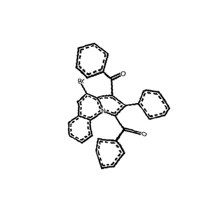 O=C(c1ccccc1)c1c(-c2ccccc2)c(C(=O)c2ccccc2)n2c1c(Br)cc1ccccc12